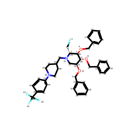 FC[C@@H]1[C@@H](OCc2ccccc2)[C@H](OCc2ccccc2)[C@@H](OCc2ccccc2)CN1CC1CCN(c2ccc(C(F)(F)F)cc2)CC1